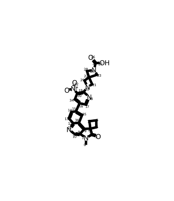 CN1C(=O)C2(CCC2)c2c1cnc1ccc(-c3cnc(N4CC5(CN(C(=O)O)C5)C4)c([N+](=O)[O-])c3)cc21